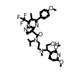 COc1ccc(-c2nc3c(C(=O)N(CCN(C)C(CO)c4ccc(OC)nc4OC)C(C)C)cnn3c(C(F)(F)F)c2C)cc1